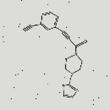 C#Cc1cccc(C#CC(=O)N2CCN(c3nccs3)CC2)c1